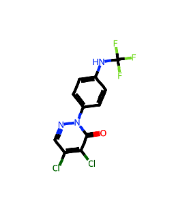 O=c1c(Cl)c(Cl)cnn1-c1ccc(NC(F)(F)F)cc1